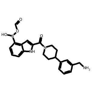 NCc1cccc(C2CCN(C(=O)c3cc4c(B(O)OC=O)cccc4[nH]3)CC2)c1